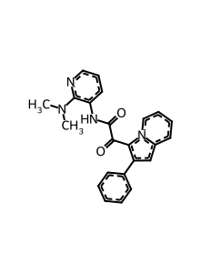 CN(C)c1ncccc1NC(=O)C(=O)c1c(-c2ccccc2)cc2ccccn12